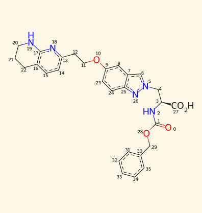 O=C(N[C@@H](Cn1cc2cc(OCCc3ccc4c(n3)NCCC4)ccc2n1)C(=O)O)OCc1ccccc1